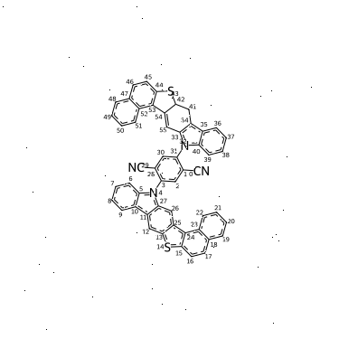 N#Cc1cc(-n2c3ccccc3c3cc4sc5ccc6ccccc6c5c4cc32)c(C#N)cc1-n1c2c(c3ccccc31)CC1Sc3ccc4ccccc4c3C1=C2